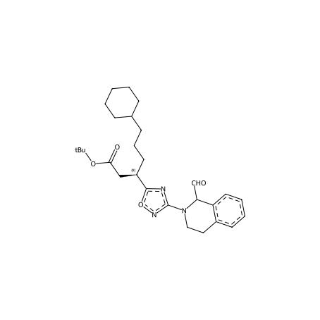 CC(C)(C)OC(=O)C[C@@H](CCCC1CCCCC1)c1nc(N2CCc3ccccc3C2C=O)no1